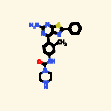 Cc1cc(NC(=O)N2CCNCC2)ccc1-c1nc(N)nc2sc(-c3ccccc3)nc12